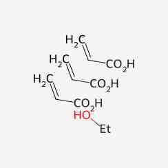 C=CC(=O)O.C=CC(=O)O.C=CC(=O)O.CCO